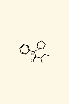 CCC(C)C(=O)[C@@H](c1ccccc1)N1CCCC1